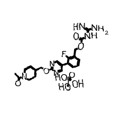 CC(=O)N1CCC(COc2ncc(-c3cccc(COC(=O)NC(=N)N)c3F)cn2)CC1.O=P(O)(O)O